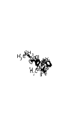 COc1cc(C(=O)NCCN(C)C)c(Cl)cc1Nc1ncc(C(F)(F)F)c(O[C@@H]2CCCC[C@H]2NS(C)(=O)=O)n1